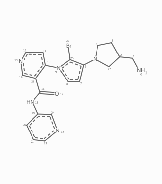 NCC1CCN(c2ccn(-c3ccncc3C(=O)Nc3cccnc3)c2Br)C1